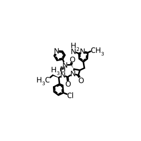 CC[C@@H](NC(=O)N1C(=O)C(Cc2cc(C)nc(N)c2)[C@H]1C(=O)N(C)c1ccncc1)c1cccc(Cl)c1